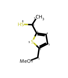 COCc1ccc(C(C)S)s1